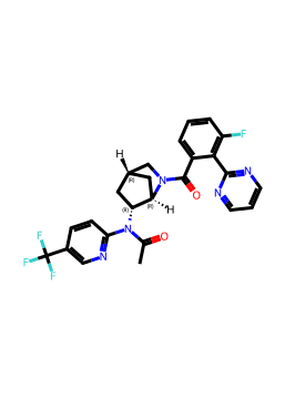 CC(=O)N(c1ccc(C(F)(F)F)cn1)[C@@H]1C[C@H]2C[C@H]1N(C(=O)c1cccc(F)c1-c1ncccn1)C2